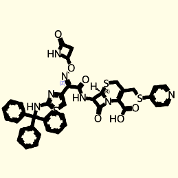 O=C1CC(O/N=C(\C(=O)NC2C(=O)N3C(C(=O)O)=C(CSc4ccncc4)CS[C@H]23)c2csc(NC(c3ccccc3)(c3ccccc3)c3ccccc3)n2)N1